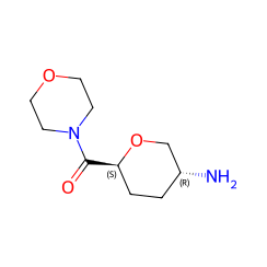 N[C@@H]1CC[C@@H](C(=O)N2CCOCC2)OC1